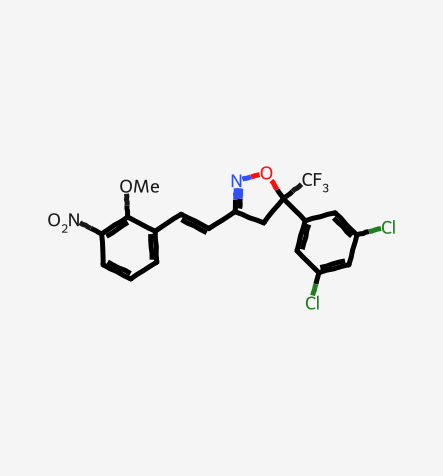 COc1c(/C=C/C2=NOC(c3cc(Cl)cc(Cl)c3)(C(F)(F)F)C2)cccc1[N+](=O)[O-]